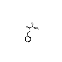 CCC(C(=O)CCc1ccccc1)[N+](=O)[O-]